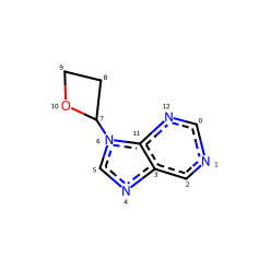 c1ncc2ncn(C3CCO3)c2n1